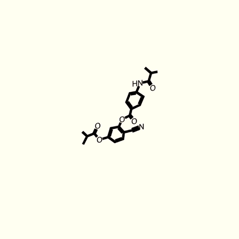 CC(C)C(=O)Nc1ccc(C(=O)Oc2cc(OC(=O)C(C)C)ccc2C#N)cc1